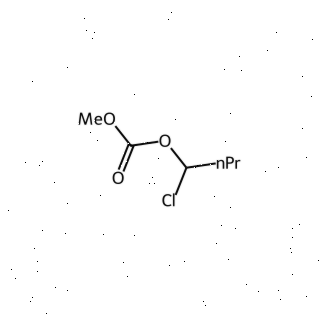 CCCC(Cl)OC(=O)OC